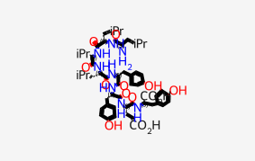 CC(C)C[C@H](NC(=O)[C@@H](NC(=O)[C@H](CC(C)C)NC(=O)[C@@H](N)CC(C)C)C(C)C)C(=O)N[C@@H](Cc1ccc(O)cc1)C(=O)N[C@@H](Cc1ccc(O)cc1)C(=O)N[C@@H](CCC(=O)O)C(=O)N[C@@H](Cc1ccc(O)cc1)C(=O)O